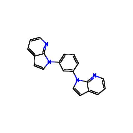 c1cc(-n2ccc3cccnc32)cc(-n2ccc3cccnc32)c1